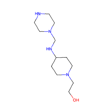 OCCN1CCC(NCN2CCNCC2)CC1